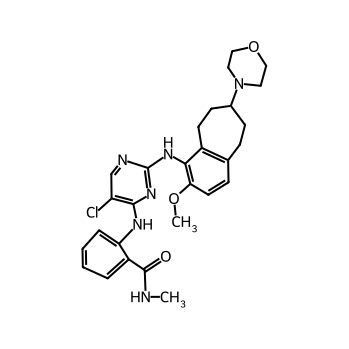 CNC(=O)c1ccccc1Nc1nc(Nc2c(OC)ccc3c2CCC(N2CCOCC2)CC3)ncc1Cl